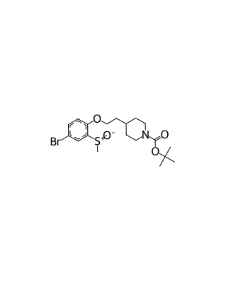 C[S+]([O-])c1cc(Br)ccc1OCCC1CCN(C(=O)OC(C)(C)C)CC1